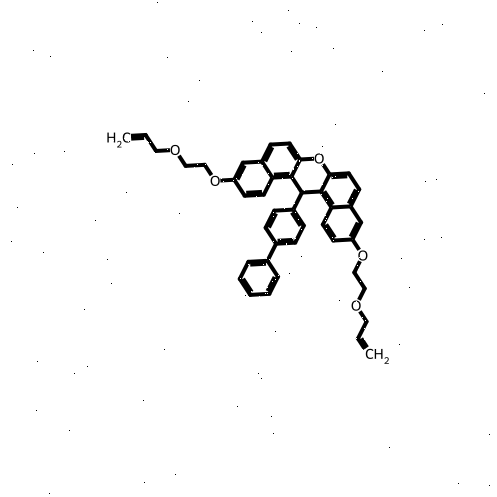 C=CCOCCOc1ccc2c3c(ccc2c1)Oc1ccc2cc(OCCOCC=C)ccc2c1C3c1ccc(-c2ccccc2)cc1